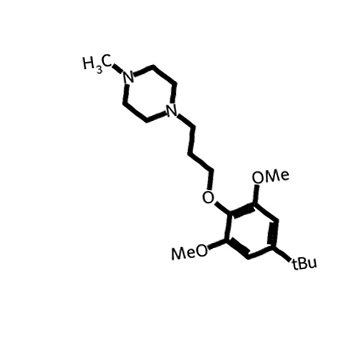 COc1cc(C(C)(C)C)cc(OC)c1OCCCN1CCN(C)CC1